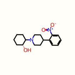 O=[N+]([O-])c1ccccc1C1CCN(C2CCCC[C@H]2O)CC1